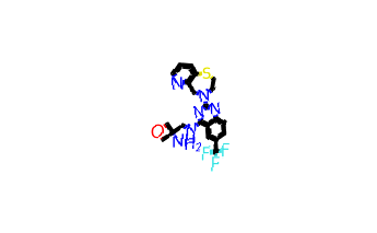 NC1(CNc2nc(N3CCSc4cccnc4C3)nc3ccc(C(F)(F)F)cc23)COC1